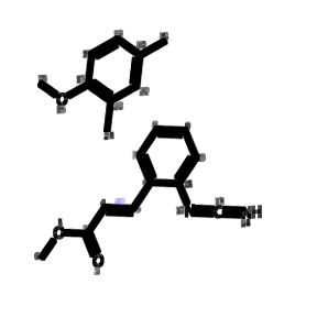 COC(=O)/C=C/c1ccccc1N=C=N.COc1ccc(C)cc1C